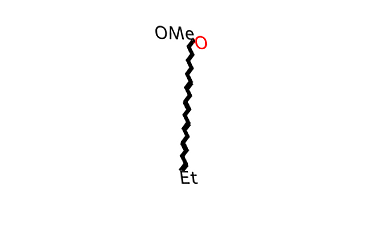 CCC=CCC=CCC=CCC=CCC=CCCCCCC(=O)OC